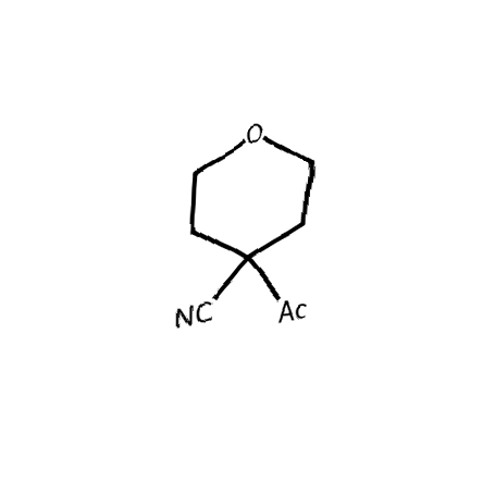 CC(=O)C1(C#N)CCOCC1